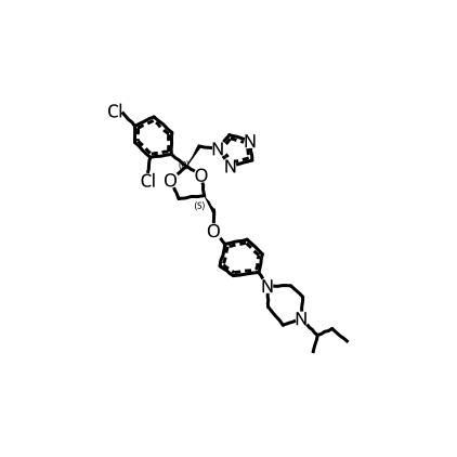 CCC(C)N1CCN(c2ccc(OC[C@H]3CO[C@](Cn4cncn4)(c4ccc(Cl)cc4Cl)O3)cc2)CC1